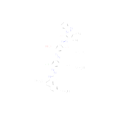 Cc1c(N=Nc2cc(CO)c(N=Nc3cc(Cl)c(N=Nc4nc5c(S(=O)(=O)O)cc6ccc(S(=O)(=O)O)cc6c5s4)cc3SCCCS(=O)(=O)O)cc2OCCCS(=O)(=O)O)c(O)n2c(nc3ccccc32)c1C#N